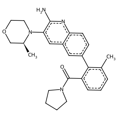 Cc1cccc(C(=O)N2CCCC2)c1-c1ccc2nc(N)c(N3CCOC[C@@H]3C)cc2c1